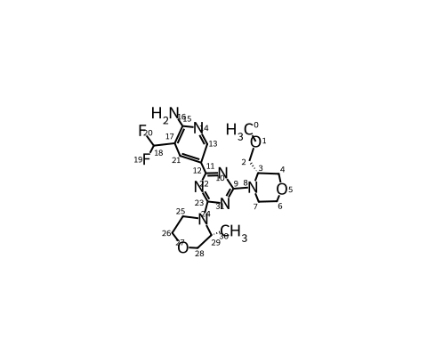 COC[C@@H]1COCCN1c1nc(-c2cnc(N)c(C(F)F)c2)nc(N2CCOC[C@H]2C)n1